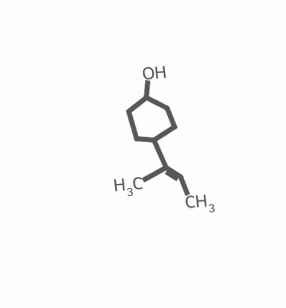 CC=C(C)C1CCC(O)CC1